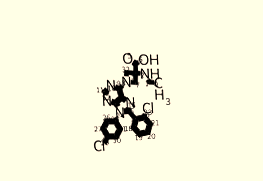 CCNC1(C(=O)O)CN(c2ncnc3c2nc(-c2ccccc2Cl)n3-c2ccc(Cl)cc2)C1